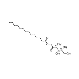 CCCCCCCCCCCCCC(=O)OCC(=O)[C@H](O)[C@@H](O)[C@H](O)CO